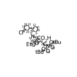 CCOP1(=O)CCN(Cc2ccccc2-c2cccc(Cl)c2)CC1(CCCCN(C(=O)OC(C)(C)C)C(=O)OC(C)(C)C)C(=O)O